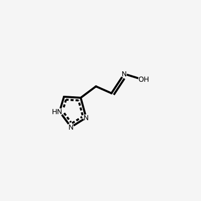 ON=CCc1c[nH]nn1